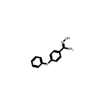 N/C(=N\O)c1ccc(Sc2ccccc2)cc1